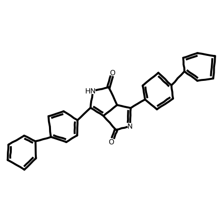 O=C1N=C(c2ccc(-c3ccccc3)cc2)C2C(=O)NC(c3ccc(-c4ccccc4)cc3)=C12